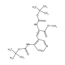 COC(=O)/C(=C\c1cnccc1NC(=O)OC(C)(C)C)NC(=O)OC(C)(C)C